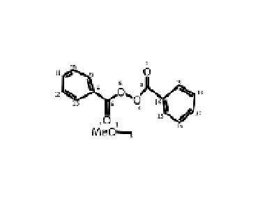 COC.O=C(OOC(=O)c1ccccc1)c1ccccc1